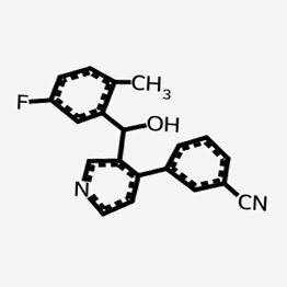 Cc1ccc(F)cc1C(O)c1cnccc1-c1cccc(C#N)c1